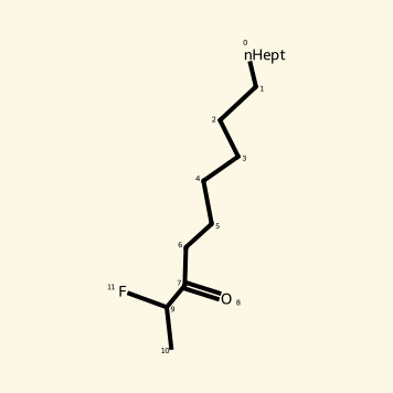 CCCCCCCCCCCCCC(=O)C(C)F